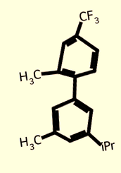 Cc1cc(-c2ccc(C(F)(F)F)cc2C)cc(C(C)C)c1